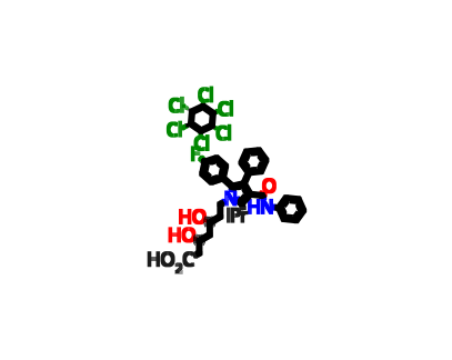 CC(C)c1c(C(=O)Nc2ccccc2)c(-c2ccccc2)c(-c2ccc(F)cc2)n1CC[C@@H](O)C[C@@H](O)CC(=O)O.Cl[C@H]1[C@H](Cl)[C@@H](Cl)[C@@H](Cl)[C@H](Cl)[C@H]1Cl